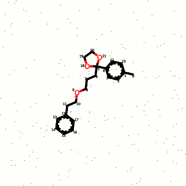 Cc1ccc(C2(CCCOCCc3ccccc3)OCCO2)cc1